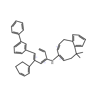 C=C/C(=C\C(=C\c1cccc(-c2ccccc2)c1)C1=CC=CCC1)NC1=C/CC(C)(C)c2ccccc2C/C=C\1